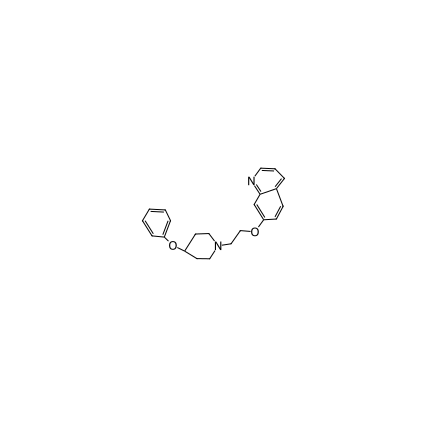 c1ccc(OC2CCN(CCOc3ccc4cccnc4c3)CC2)cc1